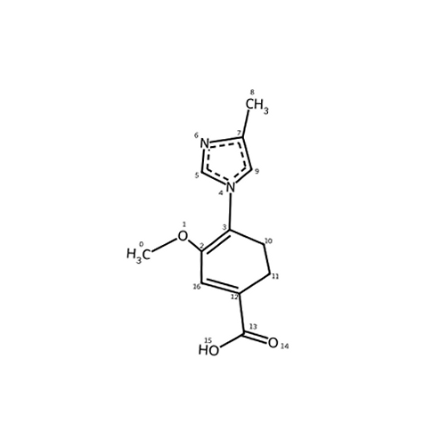 COC1=C(n2cnc(C)c2)CCC(C(=O)O)=C1